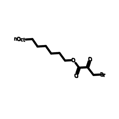 CCCCCCCCCCCCCCOC(=O)C(=O)CBr